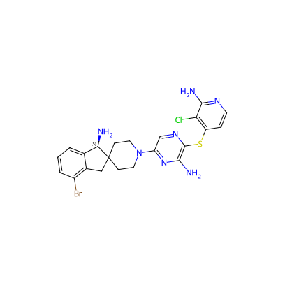 Nc1nc(N2CCC3(CC2)Cc2c(Br)cccc2[C@H]3N)cnc1Sc1ccnc(N)c1Cl